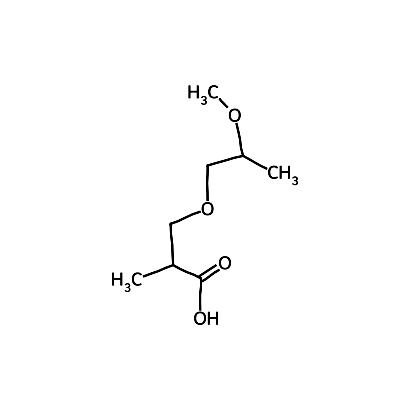 COC(C)COCC(C)C(=O)O